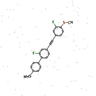 CSc1ccc(-c2ccc(C#Cc3ccc(SC#N)c(F)c3)cc2F)cc1